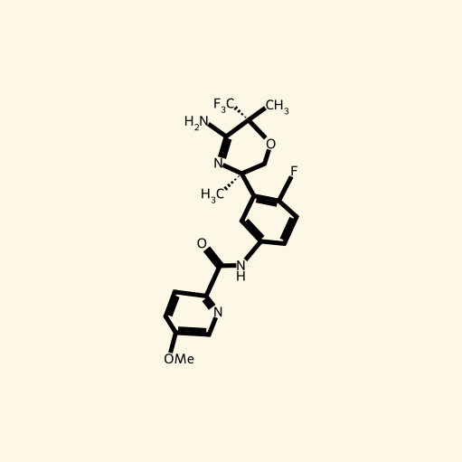 COc1ccc(C(=O)Nc2ccc(F)c([C@]3(C)CO[C@@](C)(C(F)(F)F)C(N)=N3)c2)nc1